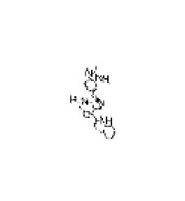 Cc1nc2ccc(-n3ncc(C(=O)C4=CCc5ccccc5N4)c3N)cc2[nH]1